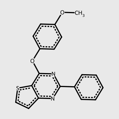 COc1ccc(Oc2nc(-c3ccccc3)nc3ccsc23)cc1